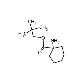 CC(C)(C)COC(=O)C1(N)CCCCC1